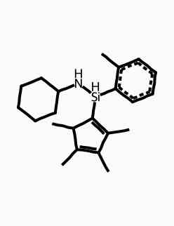 CC1=C(C)C(C)C([SiH](NC2CCCCC2)c2ccccc2C)=C1C